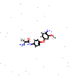 CCOc1cc(Oc2ccc(NC(=O)C(N)CC)cc2)ccc1N